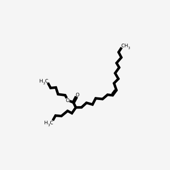 CCCCCCCC/C=C\CCCCCCC(CCCCC)C(=O)OCCCCC